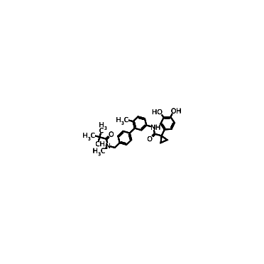 Cc1ccc(NC(=O)C2(c3ccc(O)c(O)c3)CC2)cc1-c1ccc(CN(C)C(=O)C(C)(C)C)cc1